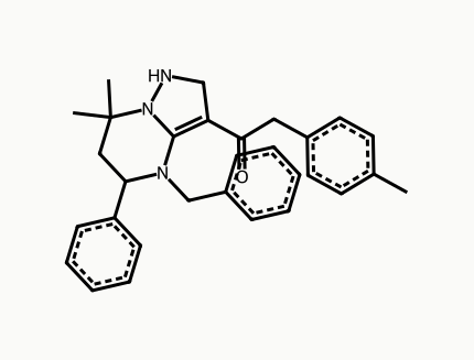 Cc1ccc(CC(=O)C2=C3N(Cc4ccccc4)C(c4ccccc4)CC(C)(C)N3NC2)cc1